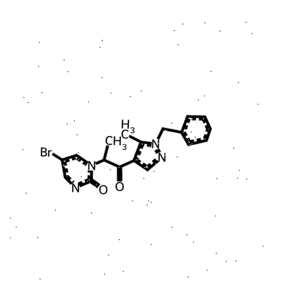 Cc1c(C(=O)C(C)n2cc(Br)cnc2=O)cnn1Cc1ccccc1